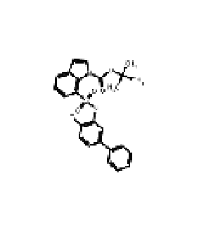 CC(C)(C)OC(=O)n1ccc2cccc(S(=O)(=O)Nc3cc(-c4ccccc4)ccc3F)c21